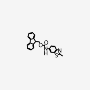 Cc1nc2ccc(NC(=O)OCC3c4ccccc4-c4ccccc43)cc2s1